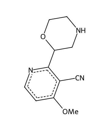 COc1ccnc(C2CNCCO2)c1C#N